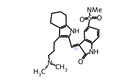 CNS(=O)(=O)c1ccc2c(c1)/C(=C\c1[nH]c3c(c1CCCN(C)C)CCCC3)C(=O)N2